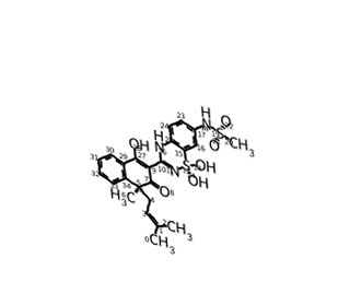 CC(C)=CC[C@@]1(C)C(=O)C(C2=NS(O)(O)c3cc(NS(C)(=O)=O)ccc3N2)=C(O)c2ccccc21